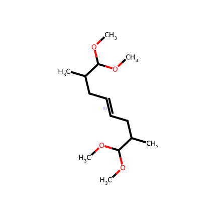 COC(OC)C(C)C/C=C/CC(C)C(OC)OC